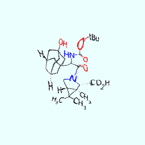 CC(C)(C)OC(=O)NC(C(=O)N1C[C@H]2C(C)(C)[C@]2(C)[C@H]1C(=O)O)C12C[C@@H]3C[C@@H](CC(O)(C3)C1)C2